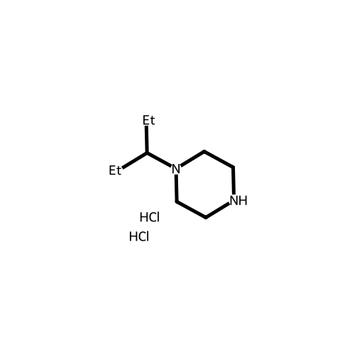 CCC(CC)N1CCNCC1.Cl.Cl